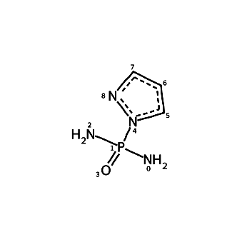 NP(N)(=O)n1cccn1